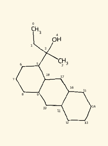 CCC(C)(O)C1CCCC2CC3CCCCC3CC21